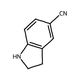 N#Cc1ccc2c(c1)CCN2